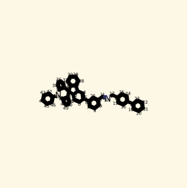 C1=CC2C(C=C1c1cccc(/C=N/Cc3ccc(-c4ccccc4)cc3)c1)c1ccccc1C21c2ccccc2N(c2ccccc2)c2ccccc21